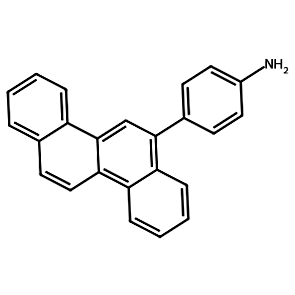 Nc1ccc(-c2cc3c4ccccc4ccc3c3ccccc23)cc1